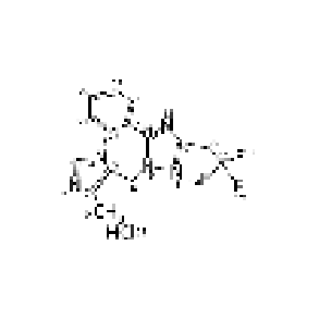 Cc1ncn2c1Cn1nc(CC(F)(F)F)nc1-c1ccccc1-2.Cl